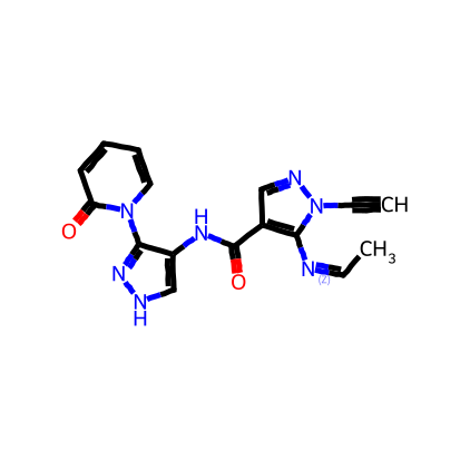 C#Cn1ncc(C(=O)Nc2c[nH]nc2-n2ccccc2=O)c1/N=C\C